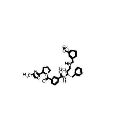 Cc1coc(C2CCCN2C(=O)c2cccc(C(=O)N[C@@H](Cc3ccccc3)[C@H](O)CNCc3cccc(OC(F)(F)F)c3)c2)n1